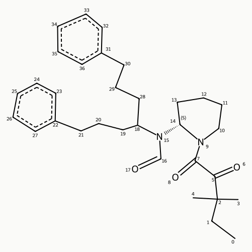 CCC(C)(C)C(=O)C(=O)N1CCCC[C@H]1N(C=O)C(CCCc1ccccc1)CCCc1ccccc1